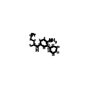 CC(C)CCC(C)Nc1ccc(N)c(-c2ccccc2)c1